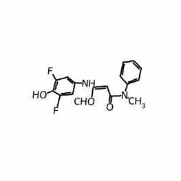 CN(C(=O)/C=C(\C=O)Nc1cc(F)c(O)c(F)c1)c1ccccc1